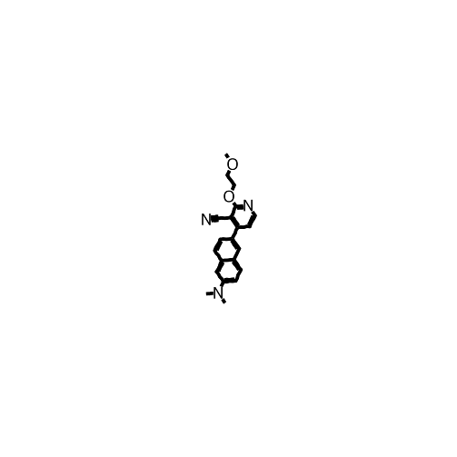 COCCOc1nccc(-c2ccc3cc(N(C)C)ccc3c2)c1C#N